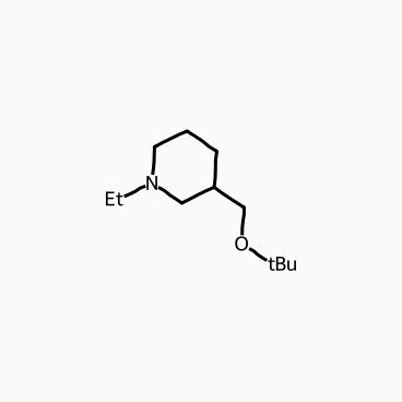 CCN1CCCC(COC(C)(C)C)C1